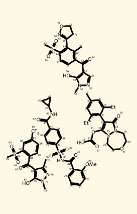 CCc1cc(C)cc(CC)c1-c1c(OC(=O)C(C)(C)C)n2n(c1=O)CCOCC2.COc1ccccc1C(=O)NS(=O)(=O)c1ccc(C(=O)NC2CC2)cc1.Cc1c(C(=O)c2cnn(C)c2O)ccc(S(C)(=O)=O)c1C1=NOCC1.Cc1nn(C)c(O)c1C(=O)c1ccc(C(F)(F)F)cc1S(C)(=O)=O